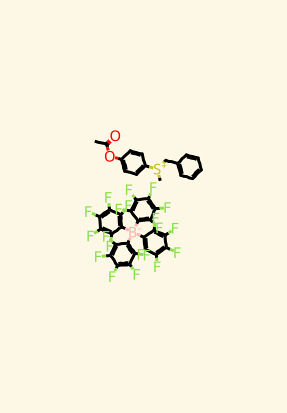 CC(=O)Oc1ccc([S+](C)Cc2ccccc2)cc1.Fc1c(F)c(F)c([B-](c2c(F)c(F)c(F)c(F)c2F)(c2c(F)c(F)c(F)c(F)c2F)c2c(F)c(F)c(F)c(F)c2F)c(F)c1F